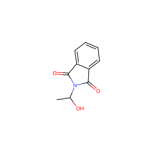 CC(O)N1C(=O)c2ccccc2C1=O